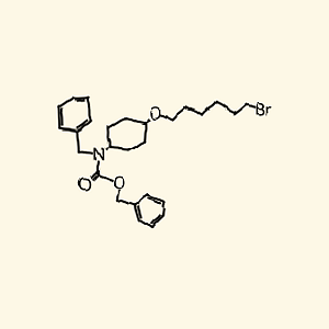 O=C(OCc1ccccc1)N(Cc1ccccc1)[C@H]1CC[C@H](OCCCCCCBr)CC1